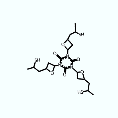 CC(S)CC1CC(n2c(=O)n(C3CC(CC(C)S)O3)c(=O)n(C3CC(CC(C)S)O3)c2=O)O1